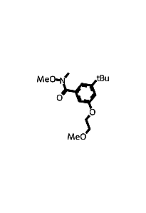 COCCOc1cc(C(=O)N(C)OC)cc(C(C)(C)C)c1